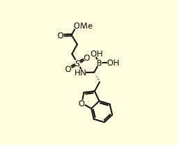 COC(=O)CCS(=O)(=O)N[C@@H](Cc1coc2ccccc12)B(O)O